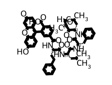 CC(C)C[C@H](NC(=O)[C@H](CCc1ccccc1)NC(=O)c1ccc(C(=O)O)c(-c2c3ccc(=O)cc-3oc3cc(O)ccc23)c1)C(=O)N[C@@H](Cc1ccccc1)C(=O)N[C@@H](CC(C)C)C(=O)[C@@]1(C)CO1